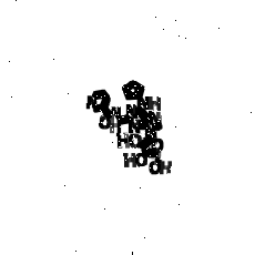 O=C(NCc1nc(NC2CCCC2)c2ncn([C@@H]3O[C@H](CO)[C@@H](O)[C@H]3O)c2n1)c1cccnc1